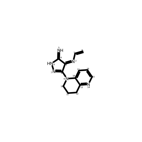 C=C/N=C1\C(=N)NN=C1N1CCCc2ncccc21